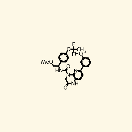 COCC(NC(=O)N1CC(=O)Nc2ccc(-c3cccc(O)c3)nc21)c1ccc(OC(C)(F)F)cc1